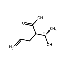 C=CCC(C(=O)O)[C@@H](C)O